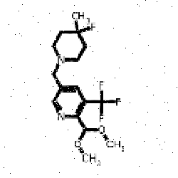 COC(OC)c1ncc(CN2CCC(C)(F)CC2)cc1C(F)(F)F